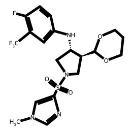 Cn1cnc(S(=O)(=O)N2C[C@H](Nc3ccc(F)c(C(F)(F)F)c3)[C@@H](C3OCCCO3)C2)c1